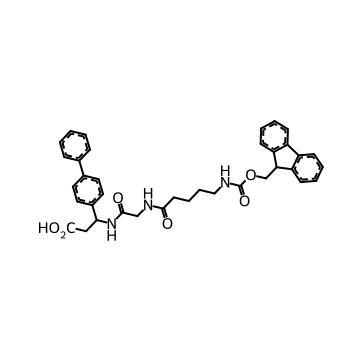 O=C(O)CC(NC(=O)CNC(=O)CCCCNC(=O)OCC1c2ccccc2-c2ccccc21)c1ccc(-c2ccccc2)cc1